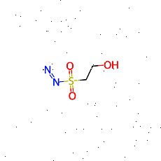 [N]=NS(=O)(=O)CCO